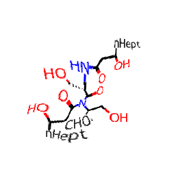 CCCCCCCC(O)CC(=O)N[C@@H](CO)C(=O)N(C(=O)CC(O)CCCCCCC)[C@H]([C]=O)CO